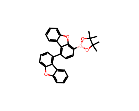 CC1(C)OB(c2ccc(-c3cccc4oc5ccccc5c34)c3c2oc2ccccc23)OC1(C)C